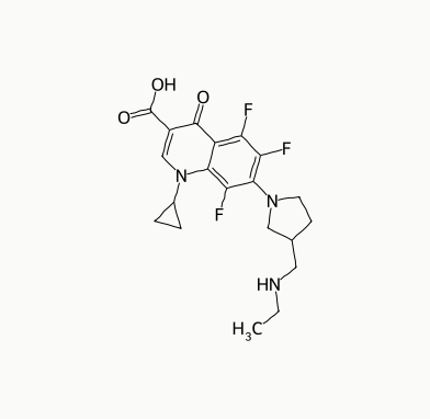 CCNCC1CCN(c2c(F)c(F)c3c(=O)c(C(=O)O)cn(C4CC4)c3c2F)C1